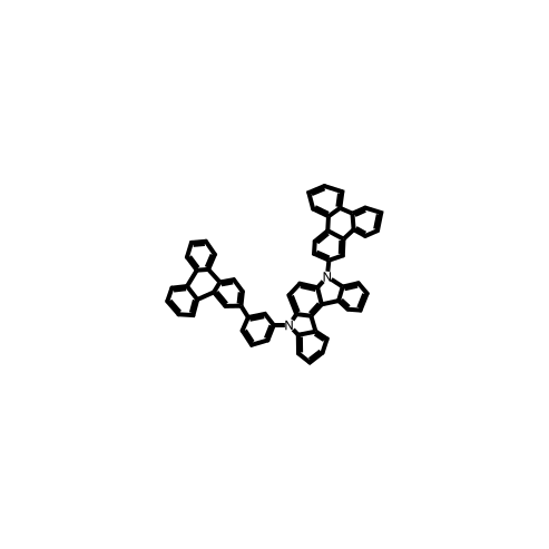 c1cc(-c2ccc3c4ccccc4c4ccccc4c3c2)cc(-n2c3ccccc3c3c4c5ccccc5n(-c5ccc6c7ccccc7c7ccccc7c6c5)c4ccc32)c1